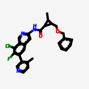 Cc1ccncc1-c1cc2cc(NC(=O)C3C(C)C3COCc3ccccc3)ncc2c(Cl)c1F